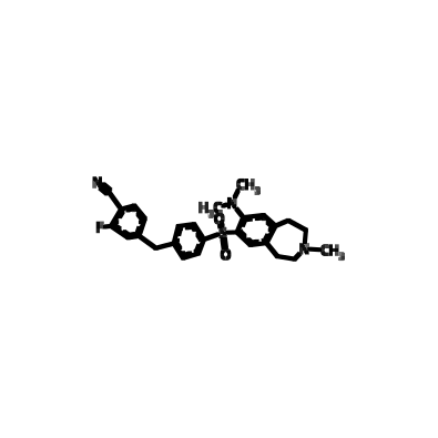 CN1CCc2cc(N(C)C)c(S(=O)(=O)c3ccc(Cc4ccc(C#N)c(F)c4)cc3)cc2CC1